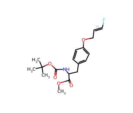 COC(=O)C(Cc1ccc(OC/C=C/F)cc1)NC(=O)OC(C)(C)C